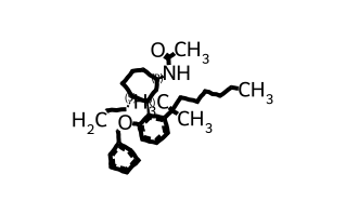 C=CC[C@@H]1CCC[C@@H](NC(C)=O)C[C@H]1c1c(OCc2ccccc2)cccc1C(C)(C)CCCCCC